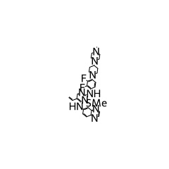 C=Cc1cnc(Nc2ccc(N3CCC(N4CCN(C)CC4)CC3)c(F)c2F)nc1Nc1ccc2nccnc2c1SC